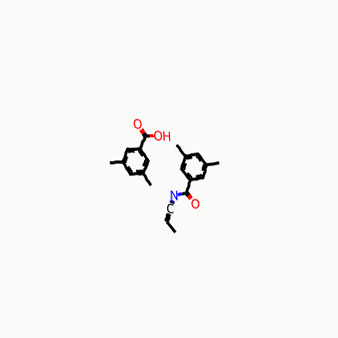 CC=C=NC(=O)c1cc(C)cc(C)c1.Cc1cc(C)cc(C(=O)O)c1